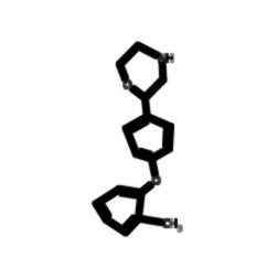 Cc1ccccc1Oc1ccc(C2CNCCO2)cc1